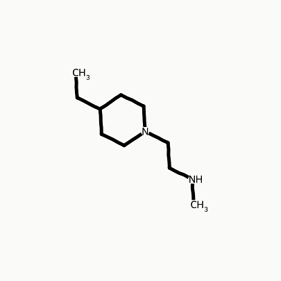 CCC1CCN(CCNC)CC1